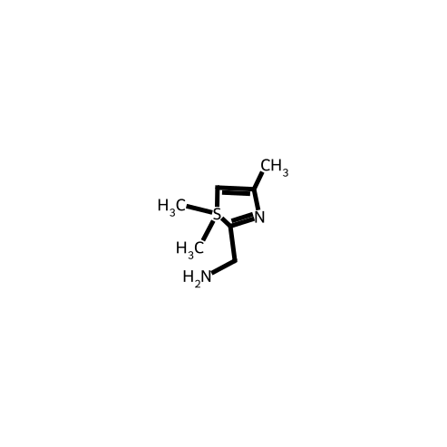 CC1=CS(C)(C)C(CN)=N1